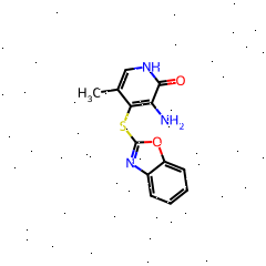 Cc1c[nH]c(=O)c(N)c1Sc1nc2ccccc2o1